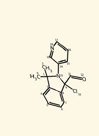 CC1(C)c2ccccc2C(Cl)(C=O)N1c1cccnc1